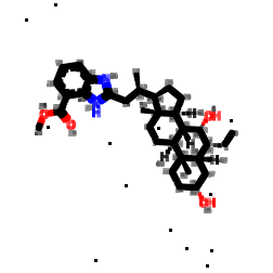 CC[C@H]1[C@@H](O)[C@@H]2[C@H](CC[C@]3(C)[C@@H]([C@H](C)Cc4nc5cccc(C(=O)OC)c5[nH]4)CC[C@@H]23)[C@@]2(C)CC[C@@H](O)C[C@@H]12